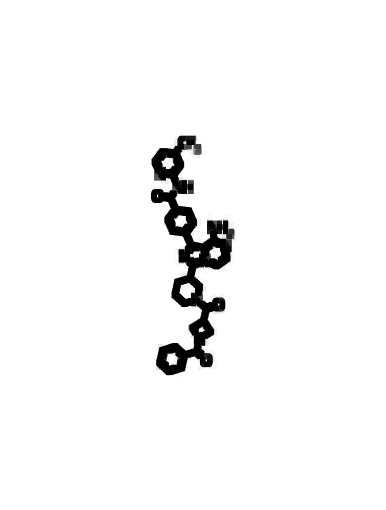 Nc1nccn2c(C3CCCN(C(=O)C4CN(C(=O)c5ccccc5)C4)C3)nc(-c3ccc(C(=O)Nc4cc(C(F)(F)F)ccn4)cc3)c12